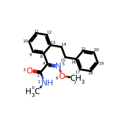 CNC(=O)C(=NOC)c1ccccc1CCc1ccccc1